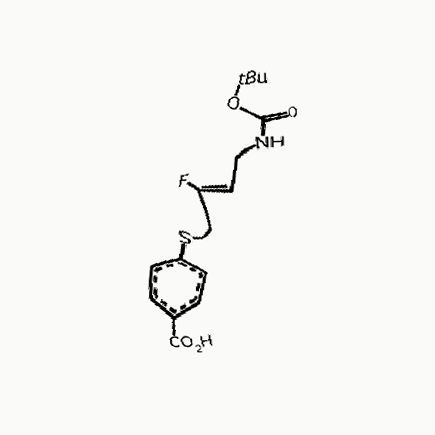 CC(C)(C)OC(=O)NCC=C(F)CSc1ccc(C(=O)O)cc1